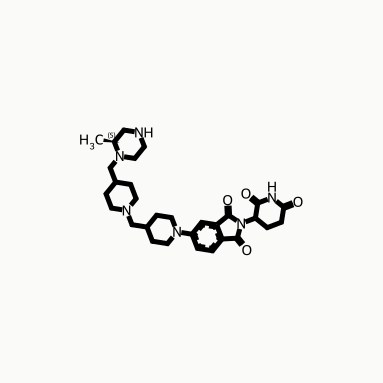 C[C@H]1CNCCN1CC1CCN(CC2CCN(c3ccc4c(c3)C(=O)N(C3CCC(=O)NC3=O)C4=O)CC2)CC1